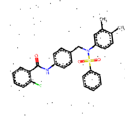 Cc1ccc(N(Cc2ccc(NC(=O)c3ccccc3Cl)cc2)S(=O)(=O)c2ccccc2)cc1C